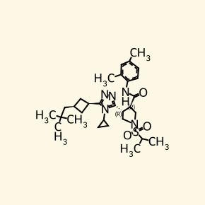 Cc1ccc(NC(=O)[C@H]2CN(S(=O)(=O)C(C)C)C[C@@H]2c2nnc([C@H]3C[C@@H](CC(C)(C)C)C3)n2C2CC2)c(C)c1